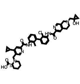 Cc1c(NC(=O)c2cc(C3CC3)c(CN3CCCC[C@H]3C(=O)O)cn2)cccc1-c1cccc(NC(=O)c2cc3c(cn2)CN(CC2(O)CC2)CC3)c1Cl